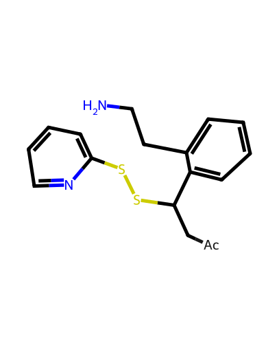 CC(=O)CC(SSc1ccccn1)c1ccccc1CCN